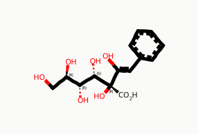 O=C(O)[C@](O)(C(O)=Cc1ccccc1)[C@@H](O)[C@H](O)[C@H](O)CO